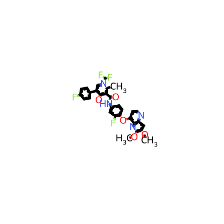 COc1cc2nccc(Oc3ccc(NC(=O)c4c(C)n(C(F)F)cc(-c5ccc(F)cc5)c4=O)cc3F)c2nc1OC